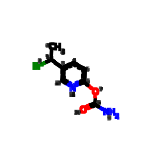 CC(Br)c1ccc(OC(N)=O)nc1